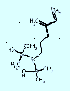 C=CC(=C)CCCN([Si](C)(C)C)[Si](C)(C)S